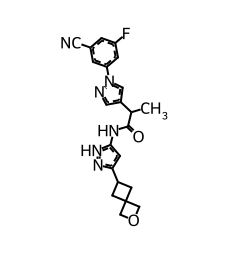 CC(C(=O)Nc1cc(C2CC3(COC3)C2)n[nH]1)c1cnn(-c2cc(F)cc(C#N)c2)c1